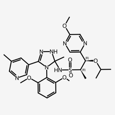 COc1cnc([C@@H](OC(C)C)[C@@H](C)S(=O)(=O)NC2(C)NN=C(c3cncc(C)c3)N2c2c(OC)cccc2OC)cn1